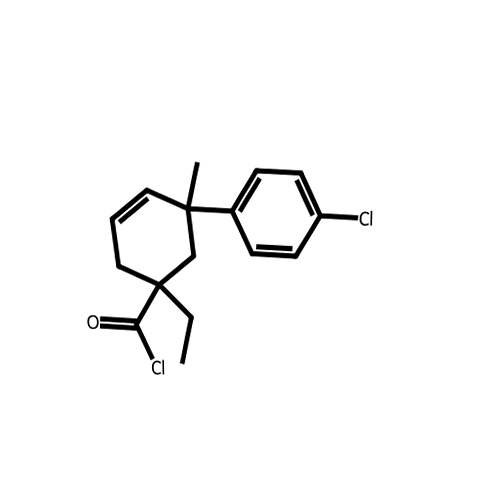 CCC1(C(=O)Cl)CC=CC(C)(c2ccc(Cl)cc2)C1